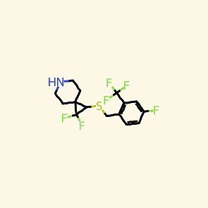 Fc1ccc(CSC2C(F)(F)C23CCNCC3)c(C(F)(F)F)c1